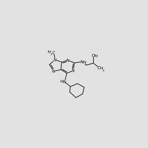 CC(O)CNc1nc(NC2CCCCC2)c2ncn(C)c2n1